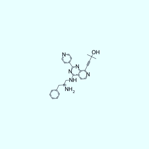 CC(C)(O)C#Cc1nccc2c(NC[C@H](N)Cc3ccccc3)nc(-c3ccncc3)nc12